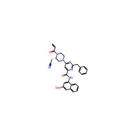 C=CC(=O)N1CCN(c2cc(C(=O)Nc3cc(O)cc4ccccc34)nc(Cc3ccccc3)n2)C[C@@H]1CC#N